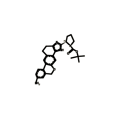 Bc1ccc2c(c1)COc1cc3c(cc1-2)CCc1nc([C@@H]2CCCN2C(=O)OC(C)(C)C)[nH]c1-3